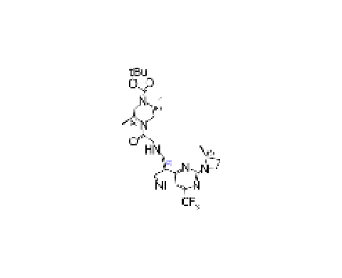 C[C@@H]1CN(C(=O)CN/C=C(\C=N)c2cc(C(F)(F)F)nc(N3CC[C@@H]3C)n2)[C@@H](C)CN1C(=O)OC(C)(C)C